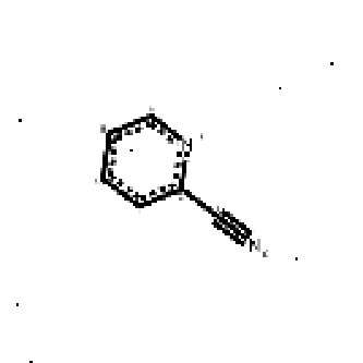 N#Cc1c[c]ccn1